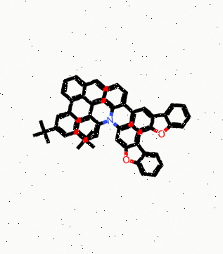 CC(C)(C)c1cc(-c2cccc3cccc(-c4ccccc4N(c4ccc5c(c4)oc4ccccc45)c4ccccc4-c4ccc5oc6ccccc6c5c4)c23)cc(C(C)(C)C)c1